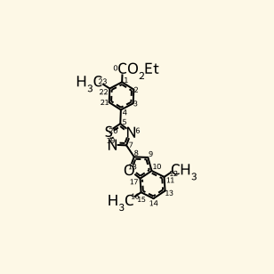 CCOC(=O)c1ccc(-c2nc(-c3cc4c(C)ccc(C)c4o3)ns2)cc1C